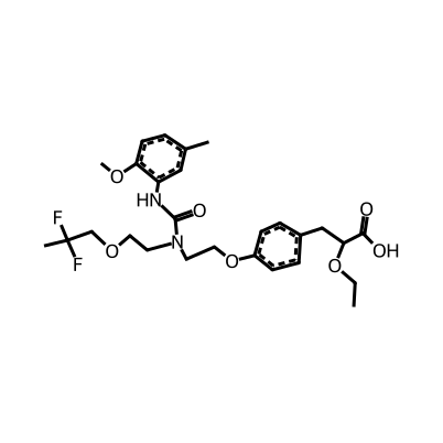 CCOC(Cc1ccc(OCCN(CCOCC(C)(F)F)C(=O)Nc2cc(C)ccc2OC)cc1)C(=O)O